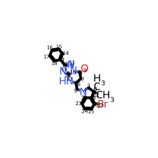 CC1(C)CN(CC2CC(=O)n3nc(-c4ccccc4)nc3N2)c2cccc(Br)c21